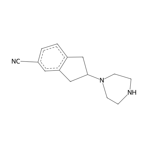 N#Cc1ccc2c(c1)CC(N1CCNCC1)C2